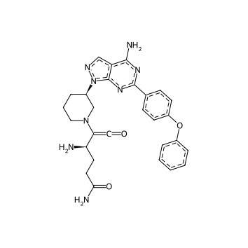 NC(=O)CC[C@@H](N)C(=C=O)N1CCC[C@@H](n2ncc3c(N)nc(-c4ccc(Oc5ccccc5)cc4)nc32)C1